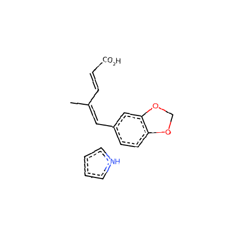 CC(C=CC(=O)O)=Cc1ccc2c(c1)OCO2.c1cc[nH]c1